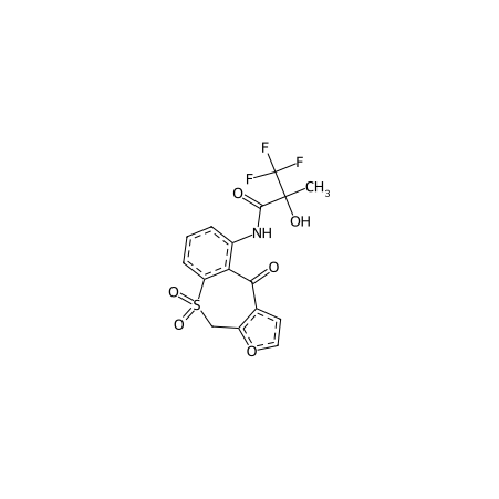 CC(O)(C(=O)Nc1cccc2c1C(=O)c1ccoc1CS2(=O)=O)C(F)(F)F